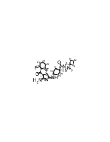 CN(C)C1(CNC(=O)c2ccc(Nc3nc(N)c(C(=O)c4c(F)cccc4F)s3)cc2)CCC1